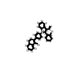 C=Cc1c(-c2ccccc2C)n(-c2ccc(-c3ccc4ccccc4c3C)cc2)c2ccccc12